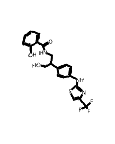 O=C(NCC(CO)c1ccc(Nc2nc(C(F)(F)F)cs2)cc1)c1ccccc1O